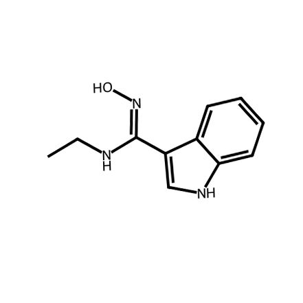 CCNC(=NO)c1c[nH]c2ccccc12